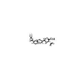 CC(C)[C@@H](C(=O)O)N(C)C(=O)N1CCC2(CC1)CN(C(=O)OC(C)(C)C)CCO2